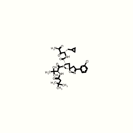 CC(C)(C)CC(=O)N[C@H](C(=O)N1C[C@@]2(CC(c3cccc(Cl)c3)=NO2)C[C@H]1C(=O)N[C@@H](CC1CC1)C(=O)C(N)=O)C(C)(C)C